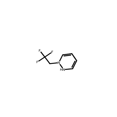 FC(F)(F)CN1C=CC=CN1